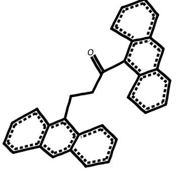 O=C(CCc1c2ccccc2cc2ccccc12)c1c2ccccc2cc2ccccc12